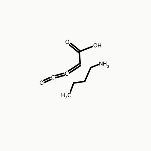 CCCCN.O=C=C=CC(=O)O